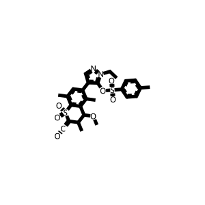 CCn1ncc(-c2cc(C)c3c(c2C)C(OC)C(C)C(=C=O)S3(=O)=O)c1OS(=O)(=O)c1ccc(C)cc1